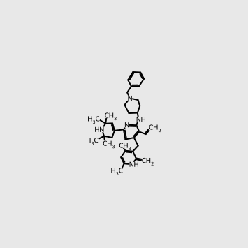 C=Cc1c(CC2=C(C)C=C(C)NC2=C)cc(C2=CC(C)(C)NC(C)(C)C2)nc1NC1CCN(Cc2ccccc2)CC1